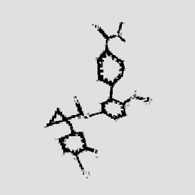 CN(C)C(=O)c1ccc(-c2cc(NC(=O)C3(c4ccc(O)c(O)c4)CC3)ccc2OC(F)(F)F)cc1